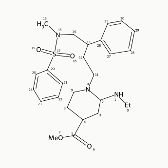 CCNC1CC(C(=O)OC)CCN1CCC(CN(C)S(=O)(=O)c1ccccc1)c1ccccc1